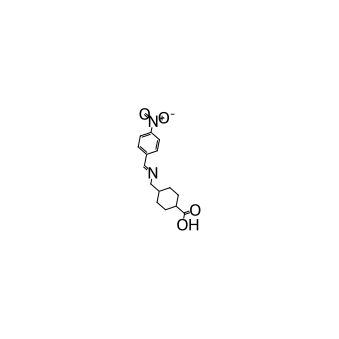 O=C(O)C1CCC(C/N=C/c2ccc([N+](=O)[O-])cc2)CC1